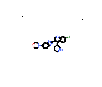 Clc1ccc2c(C3CCCNC3)c(-c3nc4cc(N5CCOCC5)ccc4[nH]3)cnc2c1